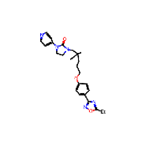 CCc1nc(-c2ccc(OCCCC(C)(C)CN3CCN(c4ccncc4)C3=O)cc2)no1